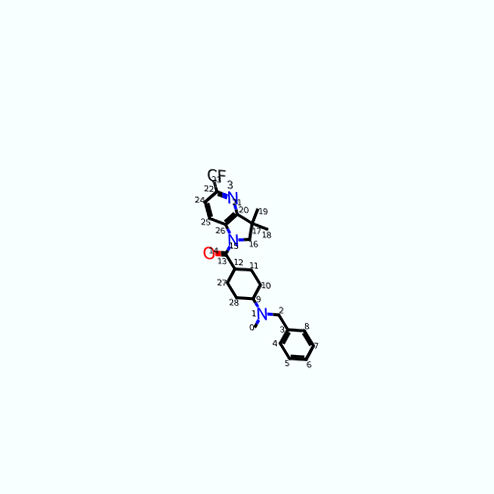 CN(Cc1ccccc1)C1CCC(C(=O)N2CC(C)(C)c3nc(C(F)(F)F)ccc32)CC1